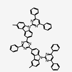 Cc1ccc2c(c1)c1cc(-c3nc(-c4ccccc4)nc(-c4ccc5c(c4)c4cc(C)ccc4n5-c4nc(-c5ccccc5)cc(-c5ccccc5)n4)n3)ccc1n2-c1nc(-c2ccccc2)cc(-c2ccccc2)n1